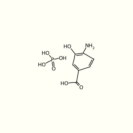 Nc1ccc(C(=O)O)cc1O.O=P(O)(O)O